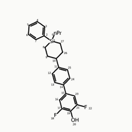 CCC[Si]1(c2ccccc2)CCC(c2ccc(-c3cc(F)c(O)c(F)c3)cc2)CC1